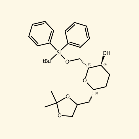 CC1(C)OCC(C[C@H]2CC[C@H](O)[C@@H](CO[Si](c3ccccc3)(c3ccccc3)C(C)(C)C)O2)O1